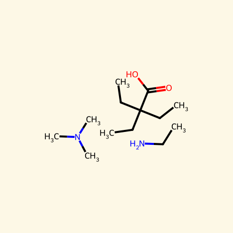 CCC(CC)(CC)C(=O)O.CCN.CN(C)C